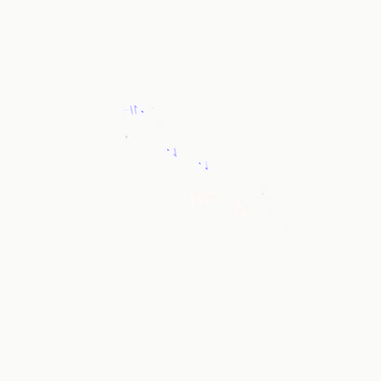 OC(COc1ccccc1Cl)CN1CCN(c2cccc3[nH]ccc23)CC1